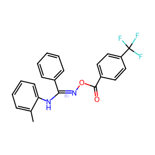 Cc1ccccc1N/C(=N/OC(=O)c1ccc(C(F)(F)F)cc1)c1ccccc1